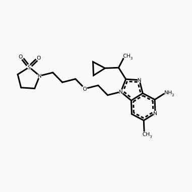 Cc1cc2c(nc(C(C)C3CC3)n2CCOCCCN2CCCS2(=O)=O)c(N)n1